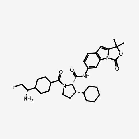 CC1(C)OC(=O)n2c1cc1ccc(NC(=O)[C@@H]3[C@H](C4CCCCC4)CCN3C(=O)C3CCC([C@H](N)CF)CC3)cc12